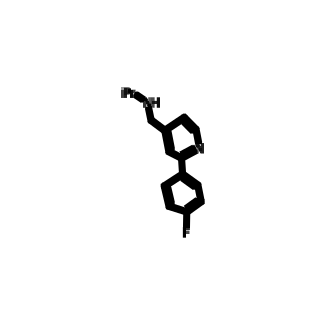 CC(C)NCc1ccnc(-c2ccc(F)cc2)c1